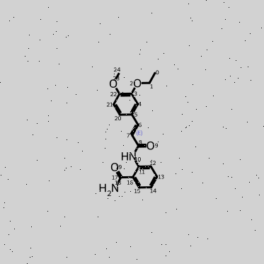 CCOc1cc(/C=C/C(=O)Nc2ccccc2C(N)=O)ccc1OC